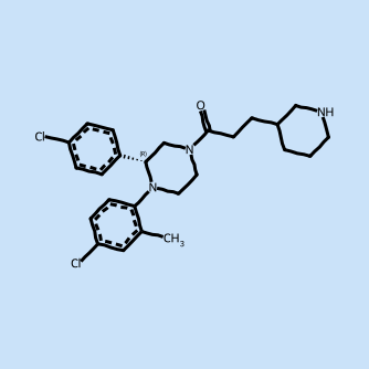 Cc1cc(Cl)ccc1N1CCN(C(=O)CCC2CCCNC2)C[C@H]1c1ccc(Cl)cc1